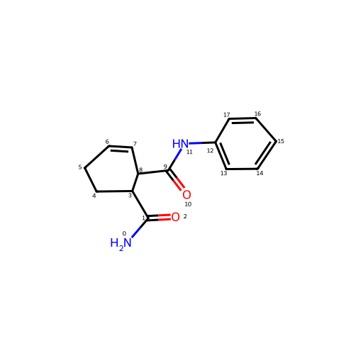 NC(=O)C1CCC=CC1C(=O)Nc1ccccc1